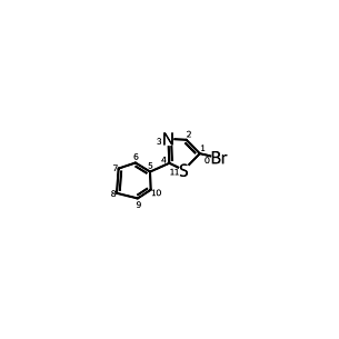 Brc1cnc(-c2ccccc2)s1